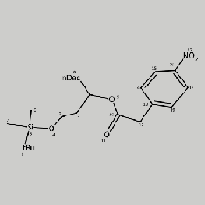 CCCCCCCCCCC(CCO[Si](C)(C)C(C)(C)C)OC(=O)Cc1ccc([N+](=O)[O-])cc1